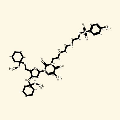 COC1(OCC2OC(n3cc(C)c(=O)n(CCOCCOCCOS(=O)(=O)c4ccc(C)cc4)c3=O)CC2OC2(OC)CCCCC2)CCCCC1